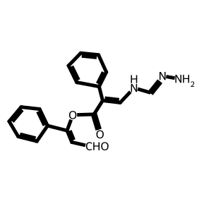 NN=CNC=C(C(=O)OC(=CC=O)c1ccccc1)c1ccccc1